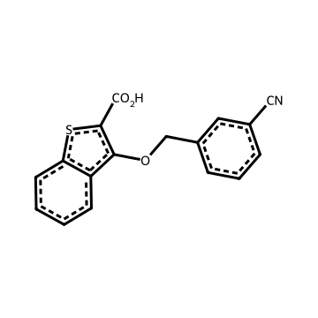 N#Cc1cccc(COc2c(C(=O)O)sc3ccccc23)c1